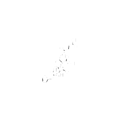 O=C(O)/C=C/C(=O)OCC1=C(C(=O)O)N2C(=O)[C@@H](NC(=O)Cc3cccs3)[C@H]2SC1